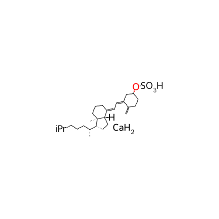 C=C1CC[C@H](OS(=O)(=O)O)C/C1=C/C=C1\CCC[C@]2(C)[C@@H]([C@H](C)CCCC(C)C)CC[C@@H]12.[CaH2]